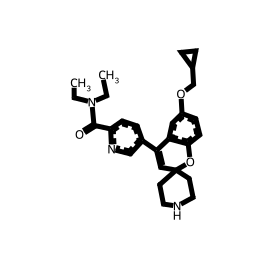 CCN(CC)C(=O)c1ccc(C2=CC3(CCNCC3)Oc3ccc(OCC4CC4)cc32)cn1